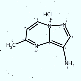 Cc1ccn2ncc(N)c2n1.Cl